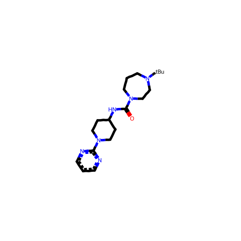 CC(C)(C)N1CCCN(C(=O)NC2CCN(c3ncccn3)CC2)CC1